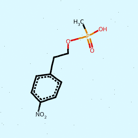 CP(=O)(O)OCCc1ccc([N+](=O)[O-])cc1